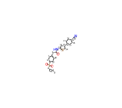 CCS(=O)(=O)c1ccc(CC(=O)Nc2cc(-c3ccc(C#N)cc3)cs2)cc1